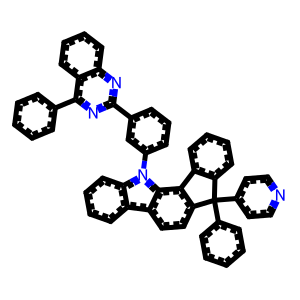 c1ccc(-c2nc(-c3cccc(-n4c5ccccc5c5ccc6c(c54)-c4ccccc4C6(c4ccccc4)c4ccncc4)c3)nc3ccccc23)cc1